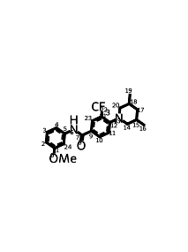 COc1cccc(NC(=O)c2ccc(N3CC(C)CC(C)C3)c(C(F)(F)F)c2)c1